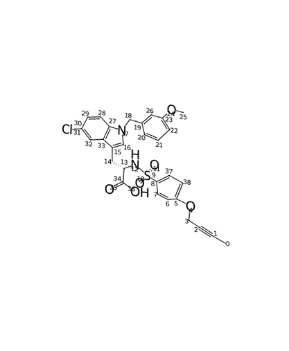 CC#CCOc1ccc(S(=O)(=O)N[C@@H](Cc2cn(Cc3cccc(OC)c3)c3ccc(Cl)cc23)C(=O)O)cc1